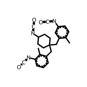 Cc1ccc(N=C=O)cc1CC1(Cc2cccc(N=C=O)c2C)CCC(N=C=O)CC1